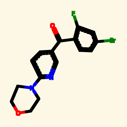 O=C(c1ccc(N2CCOCC2)nc1)c1ccc(Br)cc1F